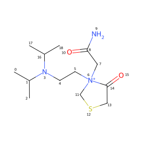 CC(C)N(CC[N+]1(CC(N)=O)CSCC1=O)C(C)C